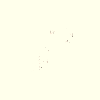 CC(C)n1cc(Br)c(-c2cnc3c(ccn3S(=O)(=O)c3ccccc3)c2)n1